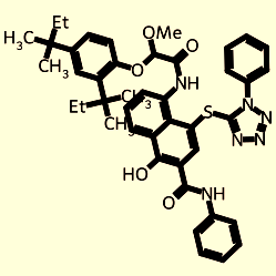 CCC(C)(C)c1ccc(OC(OC)C(=O)Nc2cccc3c(O)c(C(=O)Nc4ccccc4)cc(Sc4nnnn4-c4ccccc4)c23)c(C(C)(C)CC)c1